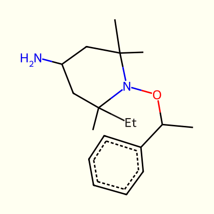 CCC1(C)CC(N)CC(C)(C)N1OC(C)c1ccccc1